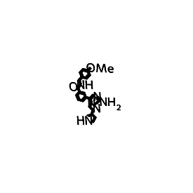 COc1ccc(CNC(=O)c2cccc(C3=CN=C(N)C4=NC(C5CCNC5)CN34)c2)cc1